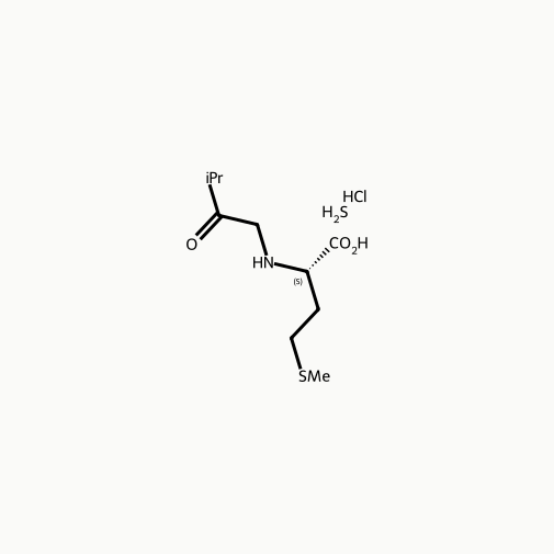 CSCC[C@H](NCC(=O)C(C)C)C(=O)O.Cl.S